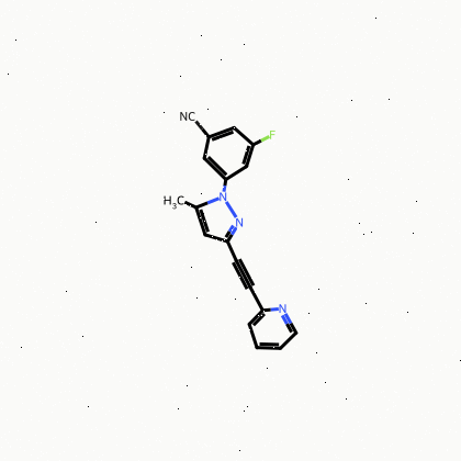 Cc1cc(C#Cc2ccccn2)nn1-c1cc(F)cc(C#N)c1